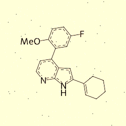 COc1ccc(F)cc1-c1ccnc2[nH]c(C3=CCCCC3)cc12